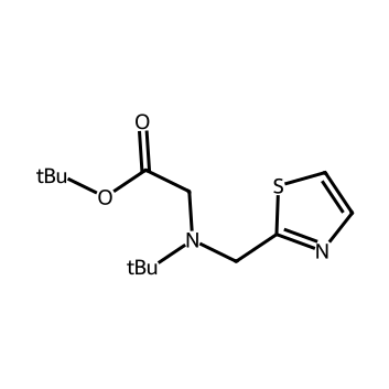 CC(C)(C)OC(=O)CN(Cc1nccs1)C(C)(C)C